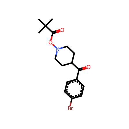 CC(C)(C)C(=O)ON1CCC(C(=O)c2ccc(Br)cc2)CC1